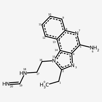 CCc1nc2c(N)nc3ccccc3c2n1CCNC=N